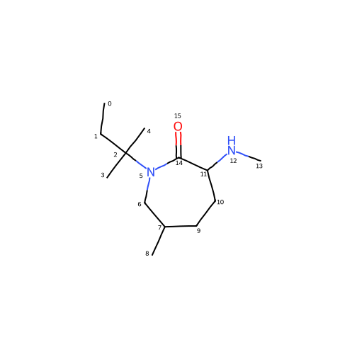 CCC(C)(C)N1CC(C)CCC(NC)C1=O